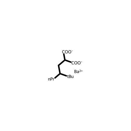 CCCC(CC(C(=O)[O-])C(=O)[O-])C(C)(C)C.[Ba+2]